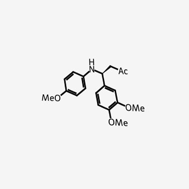 COc1ccc(N[C@@H](CC(C)=O)c2ccc(OC)c(OC)c2)cc1